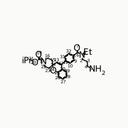 CCN(CCCN)C(=O)c1ccc(C2=CC3(CCN(C(=O)OC(C)C)CC3)Oc3ccccc32)cc1